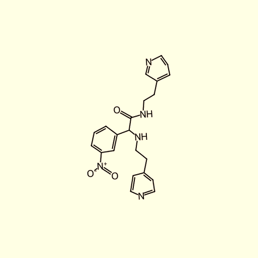 O=C(NCCc1cccnc1)C(NCCc1ccncc1)c1cccc([N+](=O)[O-])c1